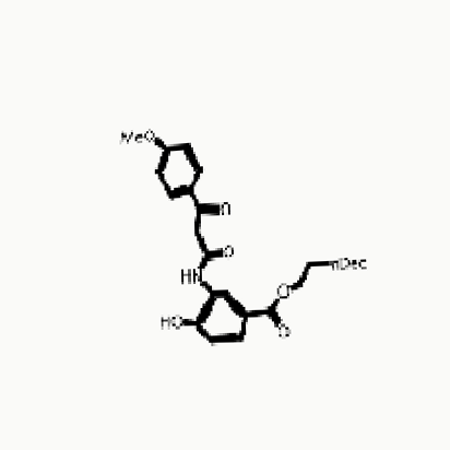 CCCCCCCCCCCCOC(=O)c1ccc(O)c(NC(=O)CC(=O)c2ccc(OC)cc2)c1